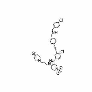 CS(=O)(=O)N1CCc2c(c(-c3ccc(Cl)c(C#Cc4ccc(CNCc5ccc(Cl)cc5)cc4)c3)nn2CCCN2CC[S+]([O-])CC2)C1